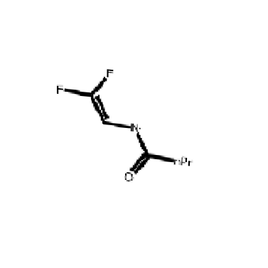 CCCC(=O)[N]C=C(F)F